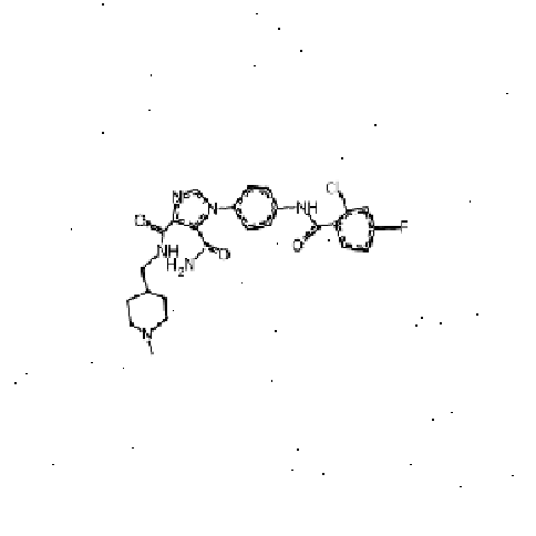 CN1CCC(CNC(=O)c2ncn(-c3ccc(NC(=O)c4ccc(F)cc4Cl)cc3)c2C(N)=O)CC1